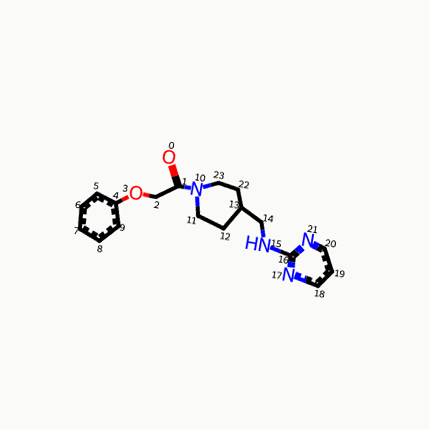 O=C(COc1ccccc1)N1CCC(CNc2ncccn2)CC1